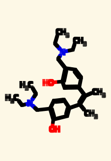 CCN(CC)Cc1ccc(C(C)=C(C)c2ccc(CN(CC)CC)c(O)c2)cc1O